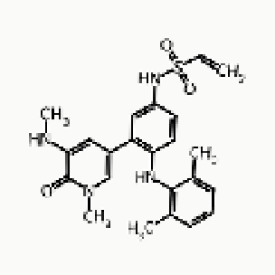 C=CS(=O)(=O)Nc1ccc(Nc2c(C)cccc2C)c(-c2cc(NC)c(=O)n(C)c2)c1